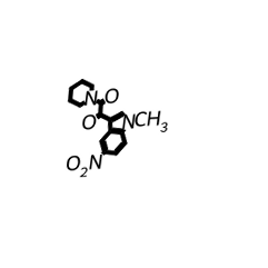 Cn1cc(C(=O)C(=O)N2CCCCC2)c2cc([N+](=O)[O-])ccc21